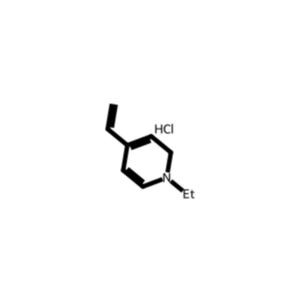 C=CC1=CCN(CC)C=C1.Cl